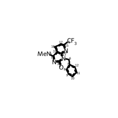 CNc1nc(=O)n(Cc2ccccc2)c2nc(C(F)(F)F)ccc12